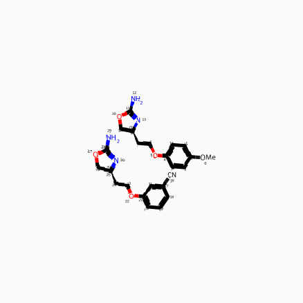 COc1ccc(OCC[C@H]2COC(N)=N2)cc1.N#Cc1cccc(OCC[C@H]2COC(N)=N2)c1